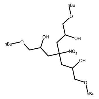 CCCCOCC(O)CC(CC(O)COCCCC)(CC(O)COCCCC)[N+](=O)[O-]